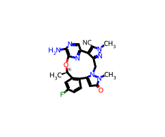 C[C@H]1Oc2nc(cnc2N)-c2c(nn(C)c2C#N)Cn2c(cc(=O)n2C)-c2ccc(F)cc21